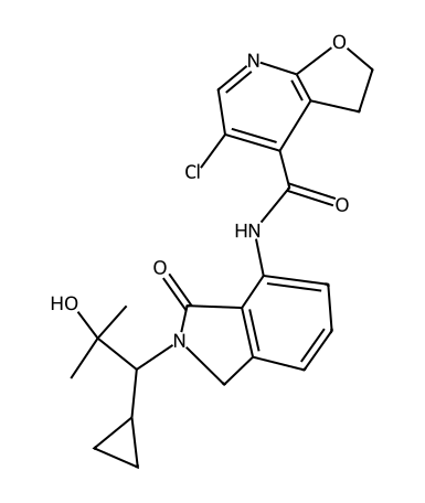 CC(C)(O)C(C1CC1)N1Cc2cccc(NC(=O)c3c(Cl)cnc4c3CCO4)c2C1=O